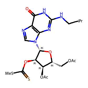 CSC(=S)O[C@@H]1[C@H](OC(C)=O)[C@@H](COC(C)=O)O[C@H]1n1cnc2c(=O)[nH]c(NCC(C)C)nc21